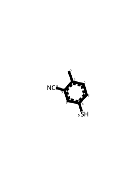 Cc1ccc(S)cc1C#N